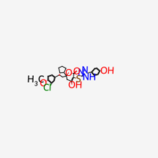 COc1ccc(CCC2(C3CCCC3)CC(O)=C(Sc3nnc(-c4ccc(O)cc4)[nH]3)C(=O)O2)cc1Cl